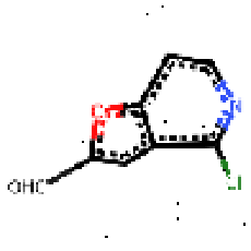 O=Cc1cc2c(Cl)nccc2o1